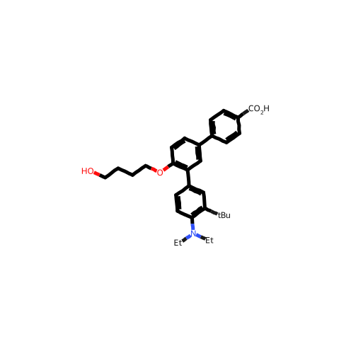 CCN(CC)c1ccc(-c2cc(-c3ccc(C(=O)O)cc3)ccc2OCCCCO)cc1C(C)(C)C